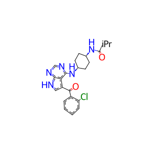 CC(C)C(=O)N[C@H]1CC[C@@H](Nc2ncnc3[nH]cc(C(=O)c4ccccc4Cl)c23)CC1